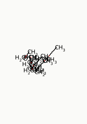 C=C(C)C(=O)N(CC)CCCCCCCCCCCC.C=C(C)C(=O)N(CC)CCCCCCCCCCCCCCCC.C=C(C)C(=O)N(CCCC)CCCCCC.C=CC(=O)N(CC)CCCCCCCCCCCCCCCC.C=CC(=O)N(CCCC)CCCCCC